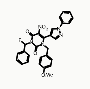 COc1ccc(Cn2c(-c3cnn(-c4ccccc4)c3)c([N+](=O)[O-])c(=O)n(C(F)c3ccccc3)c2=O)cc1